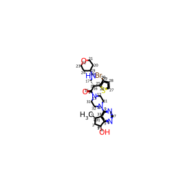 C[C@@H]1C[C@@H](O)c2ncnc(N3CCN(C(=O)[C@H](CNC4CCOCC4)c4sccc4Br)CC3)c21